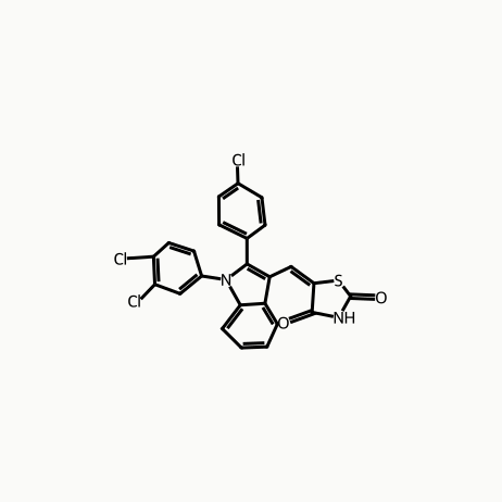 O=C1NC(=O)C(=Cc2c(-c3ccc(Cl)cc3)n(-c3ccc(Cl)c(Cl)c3)c3ccccc23)S1